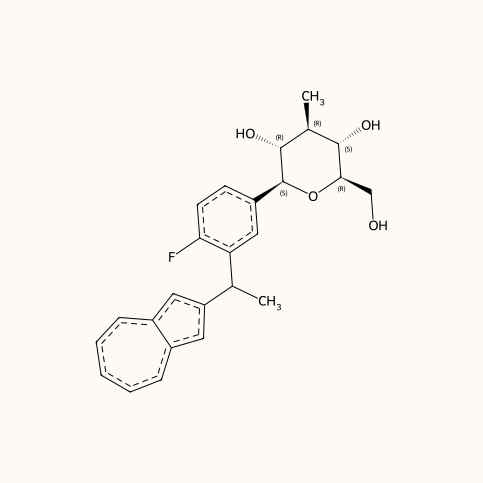 CC(c1cc2cccccc-2c1)c1cc([C@@H]2O[C@H](CO)[C@@H](O)[C@H](C)[C@H]2O)ccc1F